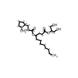 CCCCCCCCC(CCC(=O)OC(CO)CO)OC(=O)NCC1CCCN1C